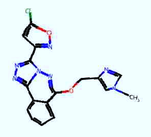 Cn1cnc(COc2nn3c(-c4cc(Cl)on4)nnc3c3ccccc23)c1